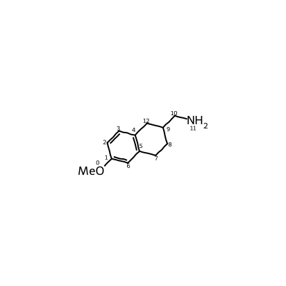 COc1ccc2c(c1)CCC(CN)C2